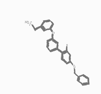 O=C(O)Cc1cccc(Oc2cccc(-c3ccc(OCc4ccccc4)cc3F)c2)c1